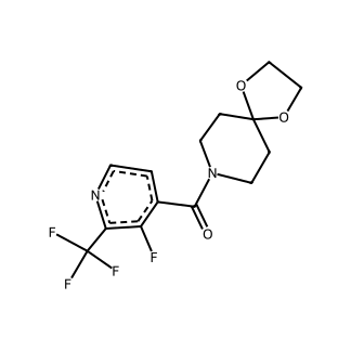 O=C(c1ccnc(C(F)(F)F)c1F)N1CCC2(CC1)OCCO2